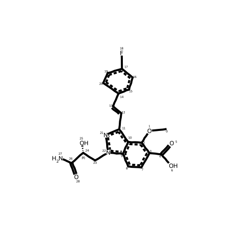 COc1c(C(=O)O)ccc2c1c(C=Cc1ccc(F)cc1)nn2C[C@@H](O)C(N)=O